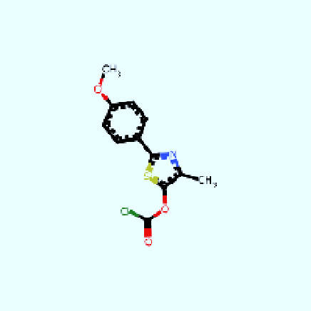 COc1ccc(-c2nc(C)c(OC(=O)Cl)s2)cc1